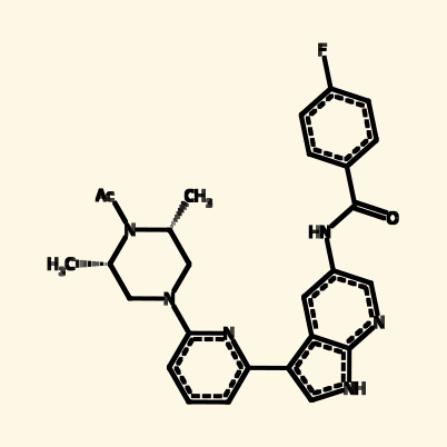 CC(=O)N1[C@H](C)CN(c2cccc(-c3c[nH]c4ncc(NC(=O)c5ccc(F)cc5)cc34)n2)C[C@@H]1C